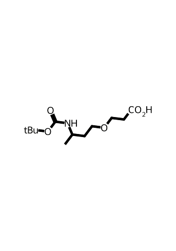 CC(CCOCCC(=O)O)NC(=O)OC(C)(C)C